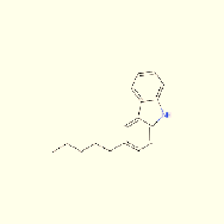 CCCCCc1ccc2[nH]c3ccccc3c2c1